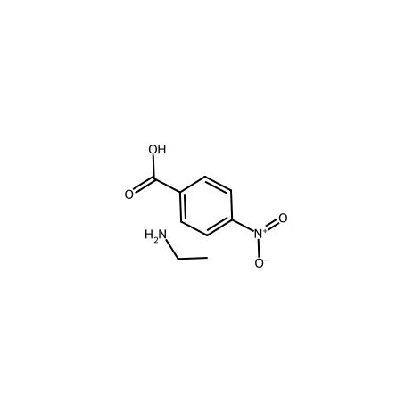 CCN.O=C(O)c1ccc([N+](=O)[O-])cc1